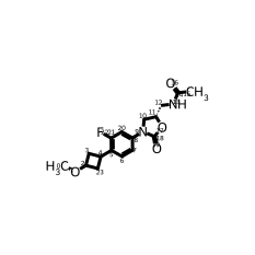 COC1CC(c2ccc(N3C[C@H](CNC(C)=O)OC3=O)cc2F)C1